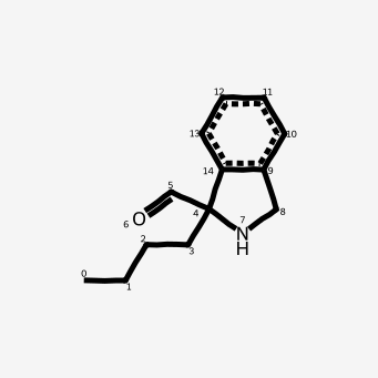 CCCCC1(C=O)NCc2ccccc21